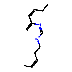 C=C(/C=C\CC)/N=C\NCC/C=C\C